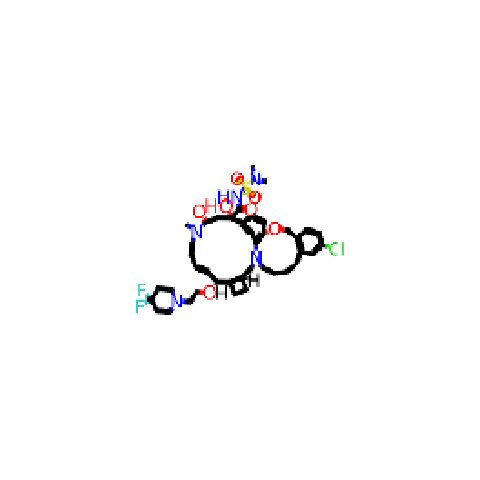 CN1CC/C=C/[C@H](OCCN2CCC(F)(F)CC2)[C@@H]2CC[C@H]2CN2CCCCc3cc(Cl)ccc3COc3ccc(cc32)C(O)(C(=O)NS(=O)(=O)N(C)C)CC1=O